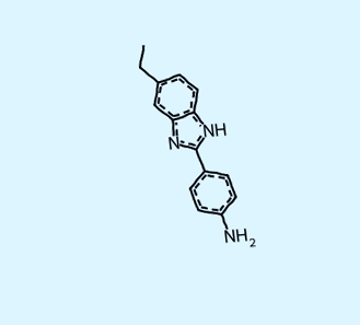 CCc1ccc2[nH]c(-c3ccc(N)cc3)nc2c1